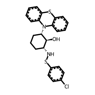 O[C@H]1[C@H](NSc2ccc(Cl)cc2)CCC[C@@H]1N1c2ccccc2Sc2ccccc21